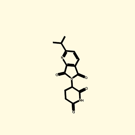 CC(C)c1ccc2c(n1)C(=O)N(C1CCC(=O)NC1=O)C2=O